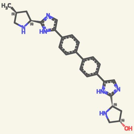 C[C@@H]1CN[C@H](c2ncc(-c3ccc(-c4ccc(-c5cnc([C@@H]6C[C@H](O)CN6)[nH]5)cc4)cc3)[nH]2)C1